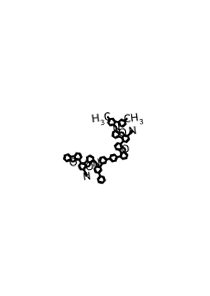 Cc1ccc2c(c1)c1cc(C)ccc1n2-c1cccc2c1oc1c(C#N)ccc(-c3cccc4c3oc3cccc(-c5ccc(-c6ccc7c(c6)c6cc(-c8ccccc8)ccc6n7-c6cccc7c6oc6c(C#N)ccc(-c8cccc9c8oc8ccccc89)c67)cc5)c34)c12